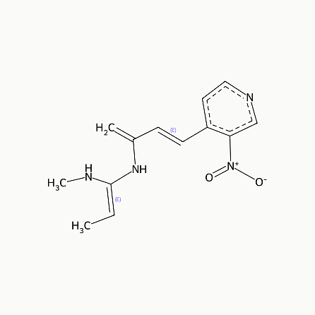 C=C(/C=C/c1ccncc1[N+](=O)[O-])N/C(=C/C)NC